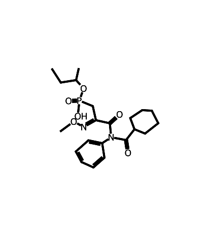 CCC(C)OP(=O)(O)CC(=NOC)C(=O)N(C(=O)C1CCCCC1)c1ccccc1